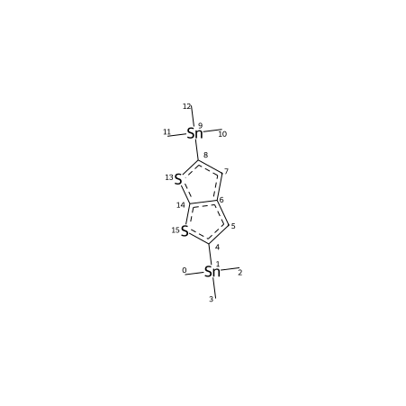 [CH3][Sn]([CH3])([CH3])[c]1cc2c[c]([Sn]([CH3])([CH3])[CH3])sc2s1